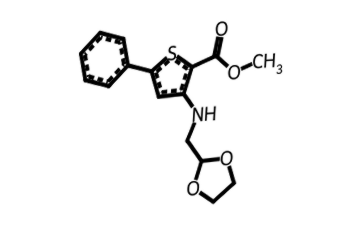 COC(=O)c1sc(-c2ccccc2)cc1NCC1OCCO1